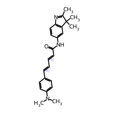 CC1=Nc2ccc(NC(=O)/C=C/C=C/c3ccc(N(C)C)cc3)cc2C1(C)C